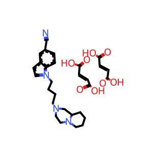 N#Cc1ccc2c(ccn2CCCCN2CCN3CCCCC3C2)c1.O=C(O)C=CC(=O)O.O=C(O)C=CC(=O)O